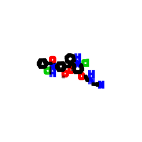 COc1cc(NC(=O)c2ccccc2Cl)ccc1C(=O)C1(C2=CC=C(OCCNCC#N)C=C(Cl)N2)CCCCC1